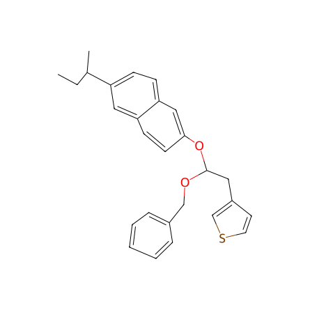 CCC(C)c1ccc2cc(OC(Cc3ccsc3)OCc3ccccc3)ccc2c1